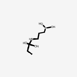 CCC(O)(O)NCCCB(O)O